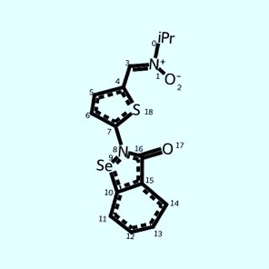 CC(C)[N+]([O-])=Cc1ccc(-n2[se]c3ccccc3c2=O)s1